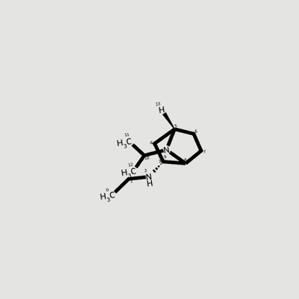 CCN[C@@H]1C[C@@H]2CCC1N2C(C)C